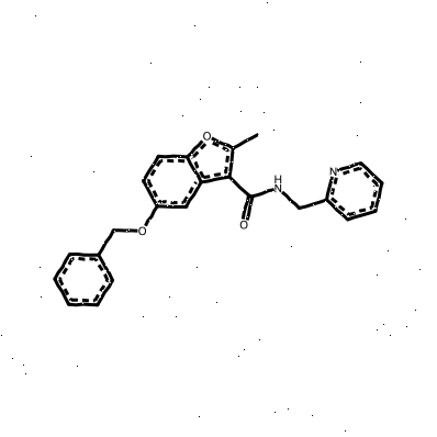 Cc1oc2ccc(OCc3ccccc3)cc2c1C(=O)NCc1ccccn1